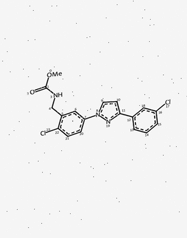 COC(=O)NCc1cc(-n2ccc(-c3cccc(Cl)c3)n2)ccc1Cl